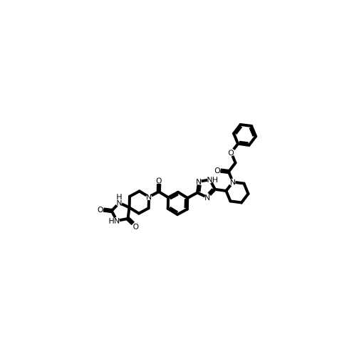 O=C1NC(=O)C2(CCN(C(=O)c3cccc(-c4n[nH]c(C5CCCCN5C(=O)COc5ccccc5)n4)c3)CC2)N1